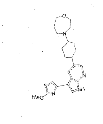 COc1nc(-c2c[nH]c3ncc(C4CCC(N5CCCOCC5)CC4)cc23)cs1